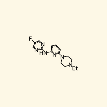 CCN1CCN(c2cccc(Nc3ncc(F)cn3)n2)CC1